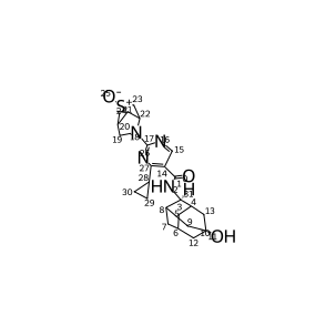 O=C(N[C@H]1C2CC3CC1C[C@@](O)(C3)C2)c1cnc(N2CC3CC2C[S+]3[O-])nc1C1CC1